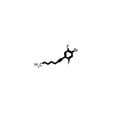 CCCCCC#Cc1cc(F)c(Br)cc1F